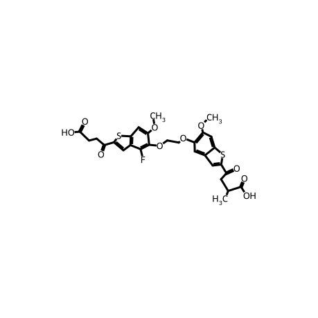 COc1cc2sc(C(=O)CC(C)C(=O)O)cc2cc1OCCOc1c(OC)cc2sc(C(=O)CCC(=O)O)cc2c1F